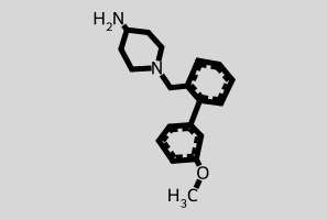 COc1cccc(-c2ccccc2CN2CCC(N)CC2)c1